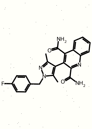 Cc1nn(Cc2ccc(F)cc2)c(C)c1-c1c(C(N)=O)nc2ccccc2c1C(N)=O